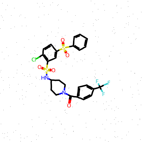 O=C(c1ccc(C(F)(F)F)cc1)N1CCC(NS(=O)(=O)c2cc(S(=O)(=O)c3ccccc3)ccc2Cl)CC1